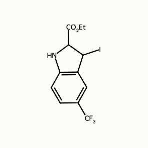 CCOC(=O)C1Nc2ccc(C(F)(F)F)cc2C1I